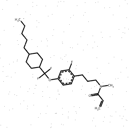 C=CC(=O)N(C)CCCc1ccc(OC(F)(F)C2CCC(CCCCC)CC2)cc1F